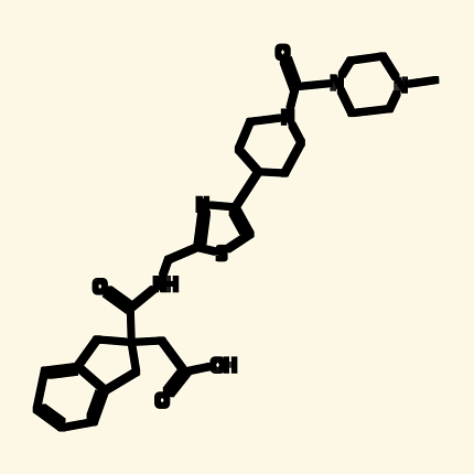 CN1CCN(C(=O)N2CCC(c3csc(CNC(=O)C4(CC(=O)O)Cc5ccccc5C4)n3)CC2)CC1